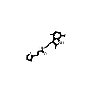 Cc1[nH]c2c(F)ccc(C)c2c1CCNC(=O)C=Cc1cccs1